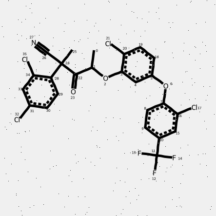 CC(Oc1cc(Oc2ccc(C(F)(F)F)cc2Cl)ccc1Cl)C(=O)C(C)(C#N)c1ccc(Cl)cc1Cl